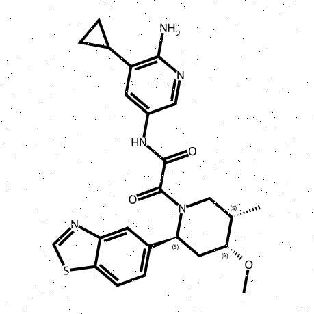 CO[C@@H]1C[C@@H](c2ccc3scnc3c2)N(C(=O)C(=O)Nc2cnc(N)c(C3CC3)c2)C[C@@H]1C